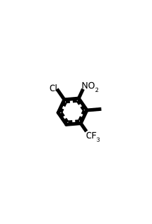 Cc1c(C(F)(F)F)ccc(Cl)c1[N+](=O)[O-]